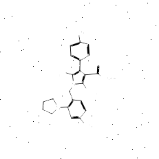 COC(=O)c1c(-c2ccc(C#N)cc2)c(C)n(Cc2ccc(C#N)cc2N2CCCC2)c1C